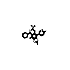 Cc1c2c(c(-c3ccc(F)nc3)c3c1C(C1CCCCC1)=NC(N(C)C)C3)OC(C)O2